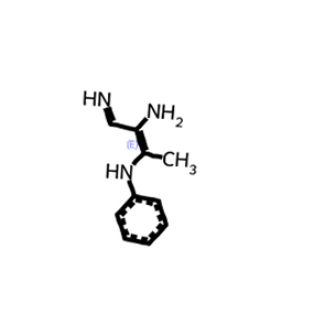 C/C(Nc1ccccc1)=C(\N)C=N